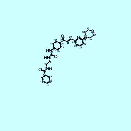 O=C(NCCNC(=O)c1cccnc1)Nc1ccc(C(=O)/C=C/c2cccc(N3CCOCC3)n2)cc1